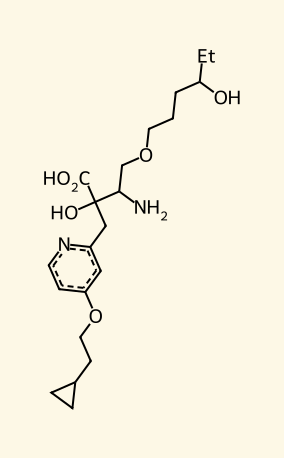 CCC(O)CCCOCC(N)C(O)(Cc1cc(OCCC2CC2)ccn1)C(=O)O